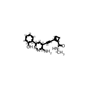 CNC(=O)C12CC(C1)C2C#Cc1cc(-c2ccccc2O)nnc1N